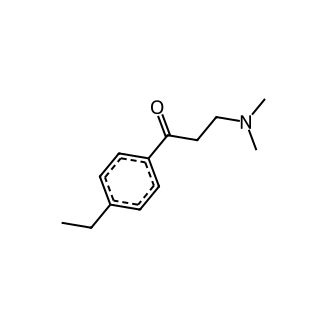 CCc1ccc(C(=O)CCN(C)C)cc1